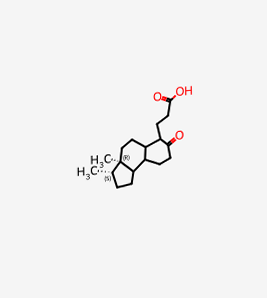 C[C@H]1CCC2C3CCC(=O)C(CCC(=O)O)C3CC[C@@]21C